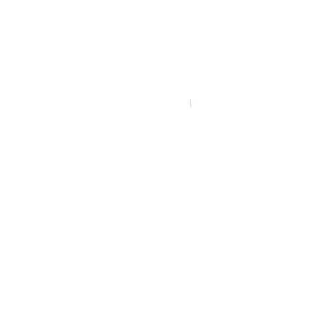 c1ccc(-c2ccc(P3CCC3)cc2)cc1